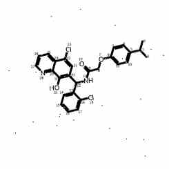 CC(C)c1ccc(OCC(=O)NC(c2ccccc2Cl)c2cc(Cl)c3cccnc3c2O)cc1